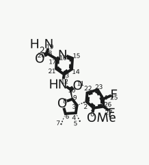 COc1c([C@@H]2[C@H](C)[C@H](C)O[C@H]2C(=O)Nc2ccnc(C(N)=O)c2)ccc(F)c1F